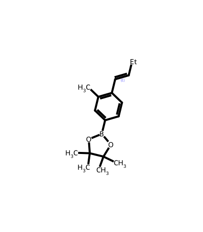 CC/C=C/c1ccc(B2OC(C)(C)C(C)(C)O2)cc1C